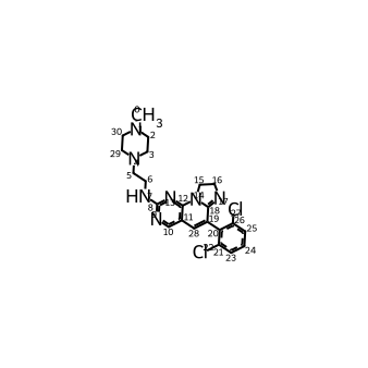 CN1CCN(CCNc2ncc3c(n2)N2CCN=C2C(c2c(Cl)cccc2Cl)=C3)CC1